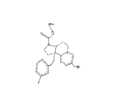 CC(C)(C)OC(=O)N1CCC2(Cc3cccc(F)c3)c3ccc(Br)cc3CCC12